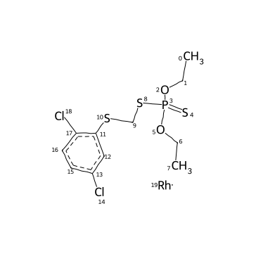 CCOP(=S)(OCC)SCSc1cc(Cl)ccc1Cl.[Rh]